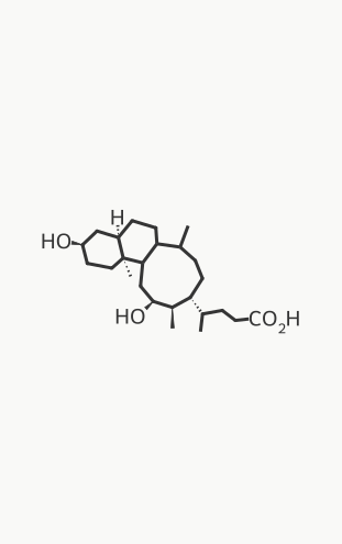 CC1CC[C@H](C(C)CCC(=O)O)[C@@H](C)[C@@H](O)CC2C1CC[C@@H]1C[C@H](O)CC[C@]21C